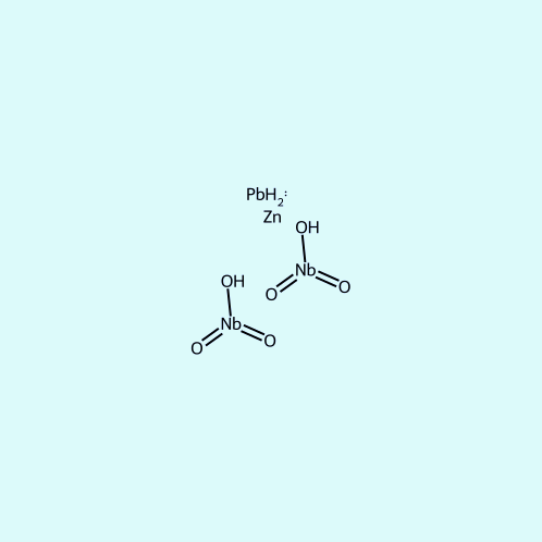 [O]=[Nb](=[O])[OH].[O]=[Nb](=[O])[OH].[PbH2].[Zn]